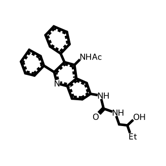 CCC(O)CNC(=O)Nc1ccc2nc(-c3ccccc3)c(-c3ccccc3)c(NC(C)=O)c2c1